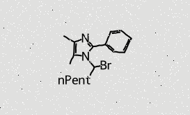 CCCCCC(Br)n1c(-c2ccccc2)nc(C)c1C